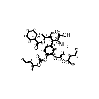 CCCC(C)OC(=O)Oc1ccc(C(C(C)C(C)OC(=O)C2CCCCC2)[C@H](N)C(=O)O)cc1OC(=O)OC(C)CCC